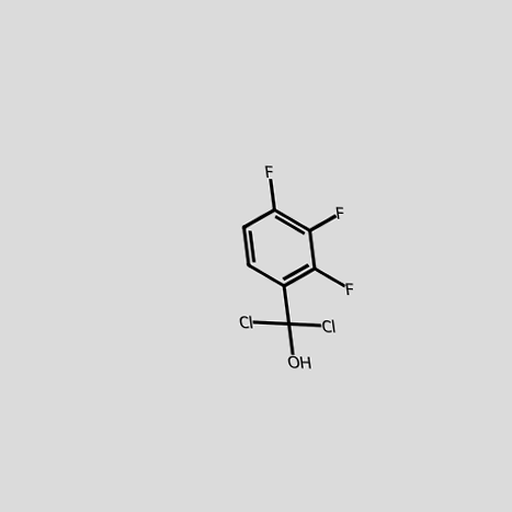 OC(Cl)(Cl)c1ccc(F)c(F)c1F